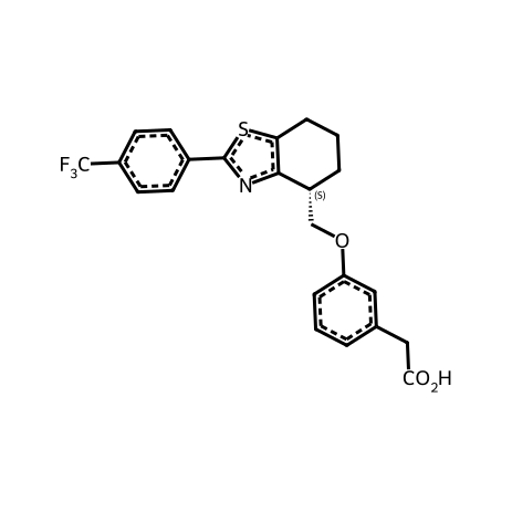 O=C(O)Cc1cccc(OC[C@H]2CCCc3sc(-c4ccc(C(F)(F)F)cc4)nc32)c1